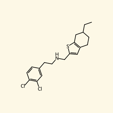 CCC1CCc2cc(CNCCc3ccc(Cl)c(Cl)c3)sc2C1